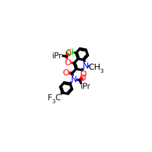 CC(C)C(=O)Oc1c(C(=O)N(C(=O)C(C)C)c2ccc(C(F)(F)F)cc2)c(=O)n(C)c2cccc(Cl)c12